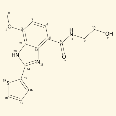 COc1ccc(C(=O)NCCO)c2nc(-c3cccs3)[nH]c12